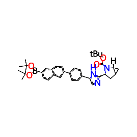 CC(C)(C)OC(=O)N1[C@@H]2CC2C[C@H]1c1ncc(-c2ccc(-c3ccc4cc(B5OC(C)(C)C(C)(C)O5)ccc4c3)cc2)[nH]1